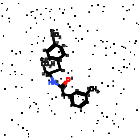 Cc1cccc(CC(=O)NC(CC(=O)O)Cc2ccc([N+](=O)[O-])cc2)c1